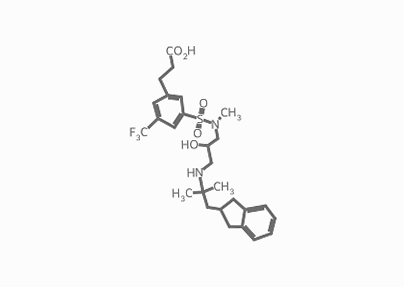 CN(CC(O)CNC(C)(C)CC1Cc2ccccc2C1)S(=O)(=O)c1cc(CCC(=O)O)cc(C(F)(F)F)c1